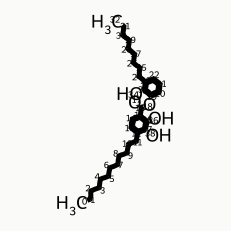 CCCCCCCCCCCCc1ccc(C(=O)Oc2cccc(CCCCCCCCC)c2O)c(O)c1O